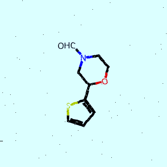 O=CN1CCOC(c2cccs2)C1